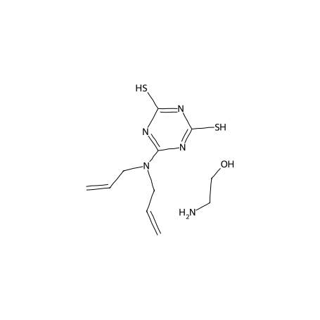 C=CCN(CC=C)c1nc(S)nc(S)n1.NCCO